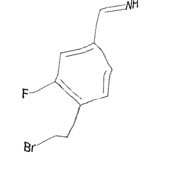 N=Cc1ccc(CBr)c(F)c1